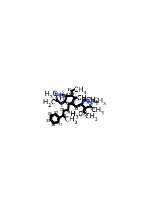 C=C\C=C/C(=C\N(C)C)C(=C/C)/C(C)=C(/C=C(\C=C)C(=C(C)C)C(C)NC)CCCC(C)c1ccccc1